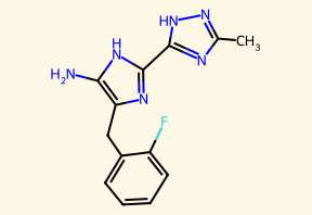 Cc1n[nH]c(-c2nc(Cc3ccccc3F)c(N)[nH]2)n1